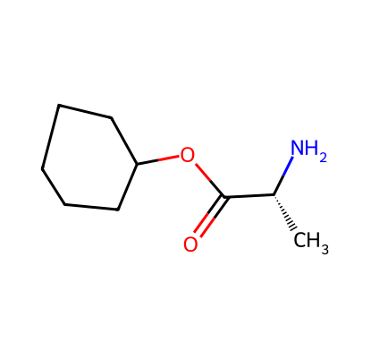 C[C@@H](N)C(=O)OC1CCCCC1